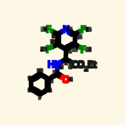 CCOC(=O)C(NC(=O)c1ccccc1)c1c(F)c(F)nc(F)c1F